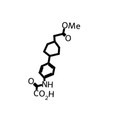 COC(=O)CC1CCC(c2ccc(NC(=O)C(=O)O)cc2)CC1